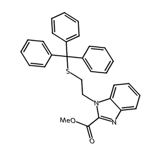 COC(=O)c1nc2ccccc2n1CCSC(c1ccccc1)(c1ccccc1)c1ccccc1